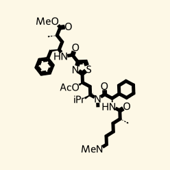 CNCCCC[C@@H](C)C(=O)N[C@H](C(=O)N(C)[C@H](C[C@@H](OC(C)=O)c1nc(C(=O)N[C@@H](Cc2ccccc2)C[C@H](C)C(=O)OC)cs1)C(C)C)C1CCCCC1